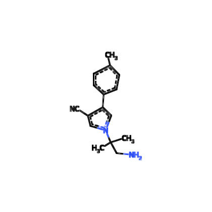 Cc1ccc(-c2cn(C(C)(C)CN)cc2C#N)cc1